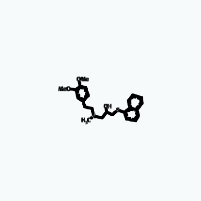 COc1ccc(CCN(C)CC(O)CSc2cccc3ccccc23)cc1OC